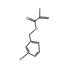 C=C(C)C(=O)OCc1cccc(F)c1